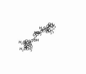 C[Si](C)(C)OC(O[Si](C)(C)C)[SiH2]CCCOCC(O)CC=C(CC(O)COCCC[SiH2]C(O[Si](C)(C)C)O[Si](C)(C)C)C(N)=O